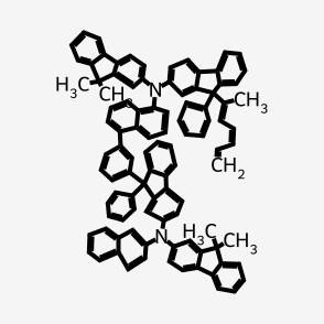 C=C/C=C\C=C(/C)C1(c2ccccc2)c2ccccc2-c2ccc(N(c3ccc4c(c3)C(C)(C)c3ccccc3-4)c3cccc4c(-c5cccc(C6(c7ccccc7)c7ccccc7-c7ccc(N(c8ccc9c(c8)C(C)(C)c8ccccc8-9)c8ccc9ccccc9c8)cc76)c5)cccc34)cc21